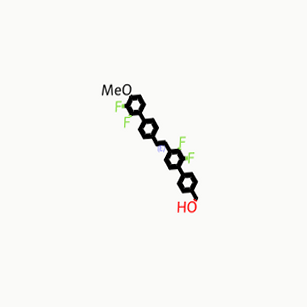 COc1ccc(-c2ccc(/C=C/c3ccc(-c4ccc(CO)cc4)c(F)c3F)cc2)c(F)c1F